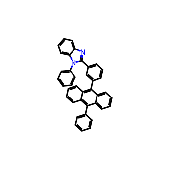 c1ccc(-c2c3ccccc3c(-c3cccc(-c4nc5ccccc5n4-c4ccccc4)c3)c3ccccc23)cc1